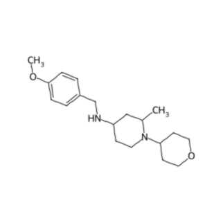 COc1ccc(CNC2CCN(C3CCOCC3)C(C)C2)cc1